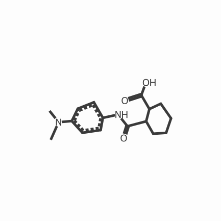 CN(C)c1ccc(NC(=O)C2CCCCC2C(=O)O)cc1